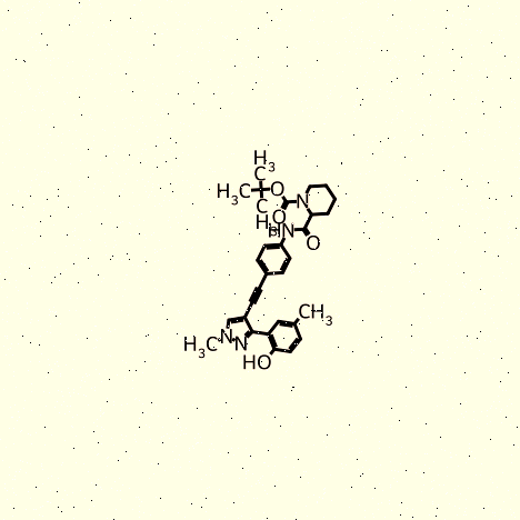 Cc1ccc(O)c(-c2nn(C)cc2C#Cc2ccc(NC(=O)C3CCCCN3C(=O)OC(C)(C)C)cc2)c1